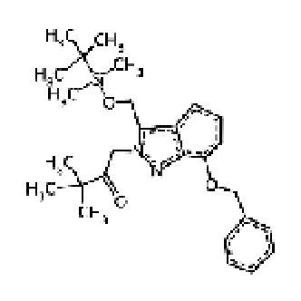 CC(C)(C)C(=O)Cn1nc2c(OCc3ccccc3)cccc2c1CO[Si](C)(C)C(C)(C)C